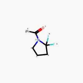 CC(C)C(=O)N1CCCC1(F)F